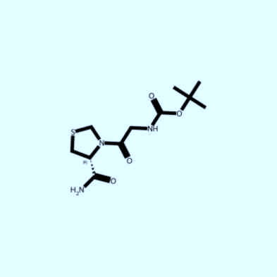 CC(C)(C)OC(=O)NCC(=O)N1CSC[C@H]1C(N)=O